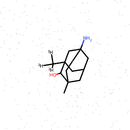 [2H]C([2H])([2H])C12CC3CC(N)(CC(C)(C3)C1O)C2